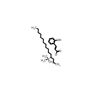 CCCCCCCCCCCCC(CCC)[N+](C)(C)C.O=C([O-])C=Cc1ccccc1O